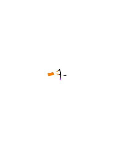 C[C@]1(I)CP1#P